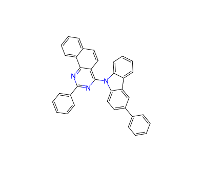 c1ccc(-c2ccc3c(c2)c2ccccc2n3-c2nc(-c3ccccc3)nc3c2ccc2ccccc23)cc1